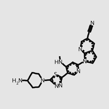 CNc1cc(-n2ccc3cc(C#N)cnc32)ncc1-c1nnc(N2CCC(N)CC2)s1